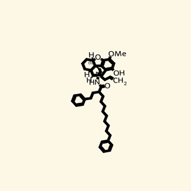 C=CC[N+]1(NC(=O)C(CCCCCCCCCc2ccccc2)CCc2ccccc2)CC[C@]23c4c5c(O)cc(OC)c4O[C@H]2CCC[C@H]3[C@H]1C5